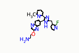 Cc1cccc(-c2nc(Cc3cccnc3F)[nH]c2-c2ccc3ncc(OCCN)nc3c2)n1